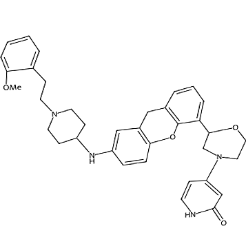 COc1ccccc1CCN1CCC(Nc2ccc3c(c2)Cc2cccc(C4CN(c5cc[nH]c(=O)c5)CCO4)c2O3)CC1